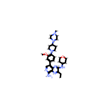 CCc1nc2c(N)ncc(-c3ccc(N4CCC(N5CCN(C)CC5)CC4)c(OC)c3)c2nc1NC1CCOCC1